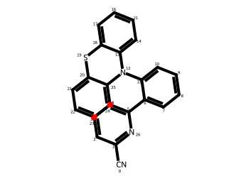 N#Cc1cccc(-c2ccccc2N2c3ccccc3Sc3ccccc32)n1